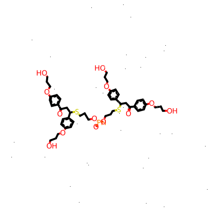 O=C(CC(SCCCO[PH](=O)OCCCSC(CC(=O)c1ccc(OCCCO)cc1)c1ccc(OCCCO)cc1)c1ccc(OCCCO)cc1)c1ccc(OCCCO)cc1